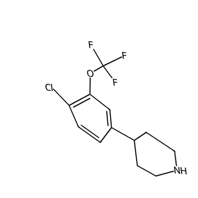 FC(F)(F)Oc1cc(C2CCNCC2)ccc1Cl